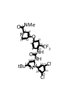 CNC(=O)c1cc(Oc2ccc(NC(=O)Nc3cc(C(C)(C)C)nn3-c3cc(Cl)cc(Cl)c3)c(C(F)(F)F)c2)ccn1